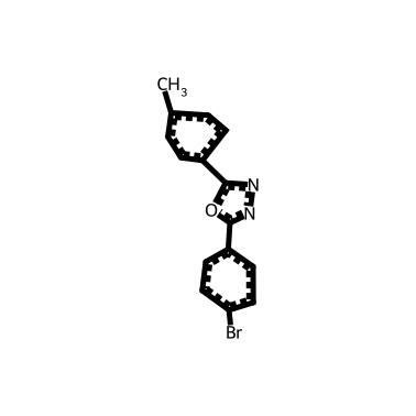 Cc1ccc(-c2nnc(-c3ccc(Br)cc3)o2)cc1